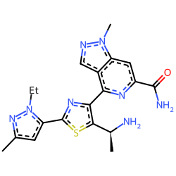 CCn1nc(C)cc1-c1nc(-c2nc(C(N)=O)cc3c2cnn3C)c([C@H](C)N)s1